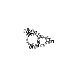 CC(C)(C)[Si](C)(C)OC[C@@H]1C/C=C\C[C@H](O)[C@@H]2CC[C@H]2CN2CCCCc3cc(Cl)ccc3COc3ccc(cc32)C(=O)NS1(=O)=O